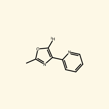 [2H]c1oc(C)nc1-c1ccccn1